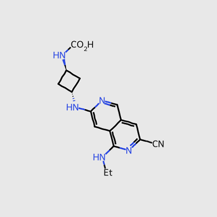 CCNc1nc(C#N)cc2cnc(N[C@H]3C[C@H](NC(=O)O)C3)cc12